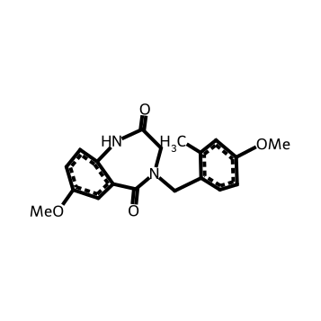 COc1ccc(CN2CC(=O)Nc3ccc(OC)cc3C2=O)c(C)c1